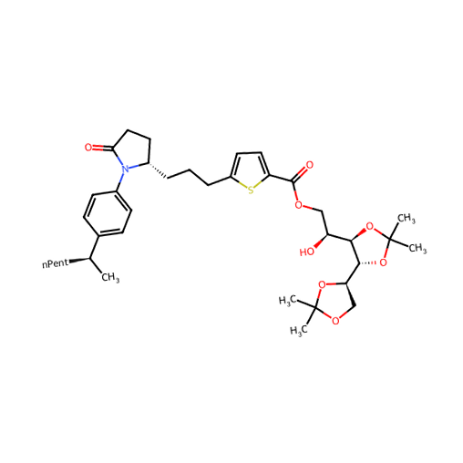 CCCCC[C@H](C)c1ccc(N2C(=O)CC[C@@H]2CCCc2ccc(C(=O)OC[C@H](O)[C@H]3OC(C)(C)O[C@@H]3[C@H]3COC(C)(C)O3)s2)cc1